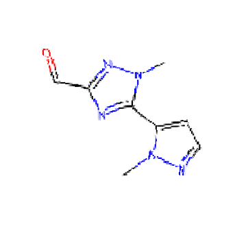 Cn1nccc1-c1nc(C=O)nn1C